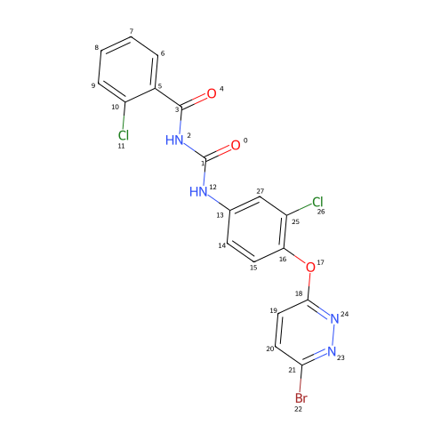 O=C(NC(=O)c1ccccc1Cl)Nc1ccc(Oc2ccc(Br)nn2)c(Cl)c1